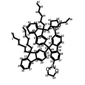 CCCCCCC1(CCCCCC)c2ccccc2-c2ccc(C3(c4ccc5c(c4)C(CCCCCC)(CCCCCC)c4ccccc4-5)c4cc(B5OCCO5)ccc4-c4ccc(B5OCCO5)cc43)cc21